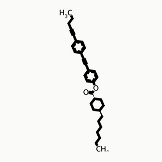 CCCC#Cc1ccc(C#Cc2ccc(OC(=O)[C@H]3CC[C@H](CCCCCCC)CC3)cc2)cc1